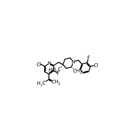 C=C(C)c1cc(Cl)nc(C[C@@]2(C(=O)O)CCN(Cc3cccc(Cl)c3F)[C@H](C)C2)c1F